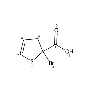 O=C(O)C1(Br)CC=CS1